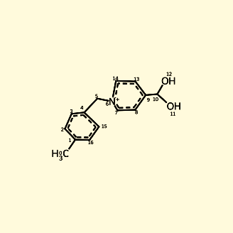 Cc1ccc(C[n+]2ccc(C(O)O)cc2)cc1